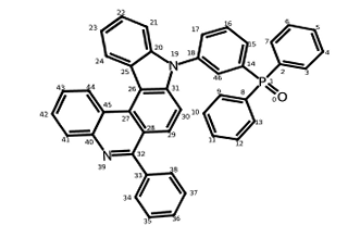 O=P(c1ccccc1)(c1ccccc1)c1cccc(-n2c3ccccc3c3c4c(ccc32)c(-c2ccccc2)nc2ccccc24)c1